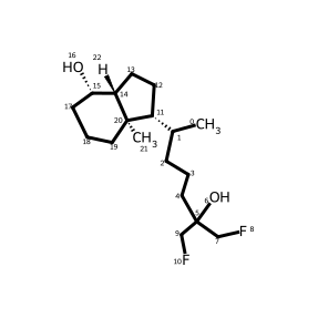 CC(CCCC(O)(CF)CF)[C@H]1CC[C@H]2[C@@H](O)CCC[C@]12C